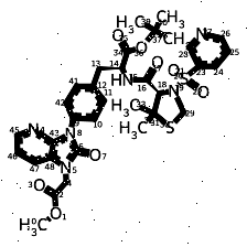 COC(=O)Cn1c(=O)n(-c2ccc(C[C@H](NC(=O)[C@H]3N(S(=O)(=O)c4cccnc4)CSC3(C)C)C(=O)OC(C)(C)C)cc2)c2ncccc21